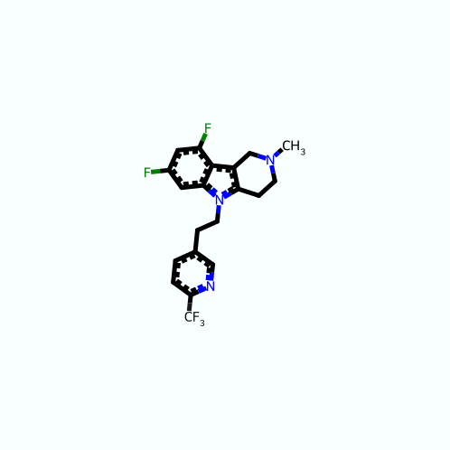 CN1CCc2c(c3c(F)cc(F)cc3n2CCc2ccc(C(F)(F)F)nc2)C1